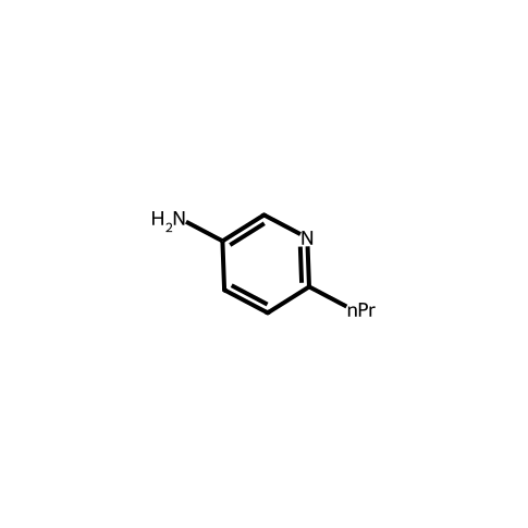 CCCc1ccc(N)cn1